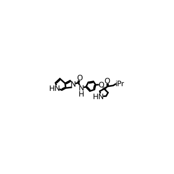 CC(C)CC(=O)[C@@]1(Oc2ccc(NC(=O)N3C=C4C=CNC=C4C3)cc2)CCNC1